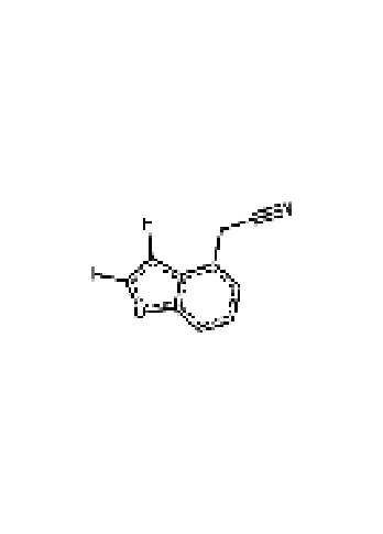 N#CCc1cccc2oc(I)c(F)c12